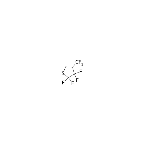 FC(F)(F)C1CSC(F)(F)C1(F)F